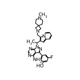 CC(c1cc2ccccn2c1CN1CC2(CCN(C)CC2)C1)n1nc(-c2cc(O)cc(F)c2)c2c(N)ncnc21